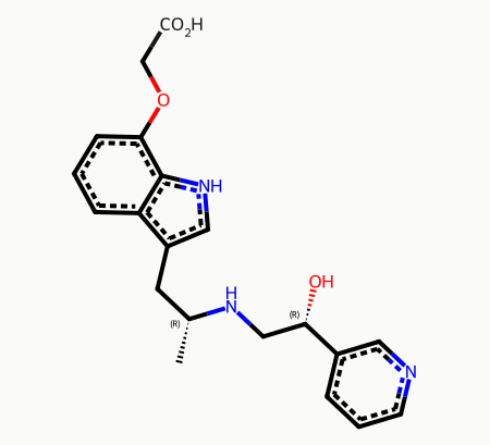 C[C@H](Cc1c[nH]c2c(OCC(=O)O)cccc12)NC[C@H](O)c1cccnc1